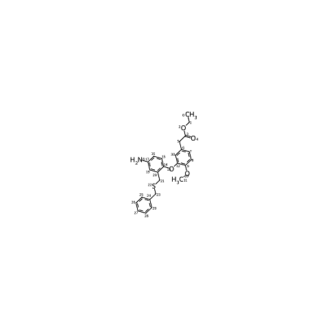 CCOC(=O)Cc1ccc(OC)c(Oc2ccc(N)cc2CSCc2ccccc2)c1